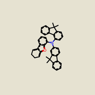 CC1(C)c2ccccc2-c2ccc(N(c3cccc4c3-c3ccccc3C4(C)C)c3cccc4c5c(oc34)=CCCC=5)cc21